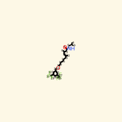 CC(=CC(=O)NCC(C)C)C=C(C)CCCCCCOCc1cc(C(F)(F)F)cc(C(F)(F)F)c1